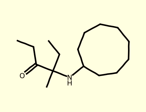 CCC(=O)C(C)(CC)NC1CCCCCCCC1